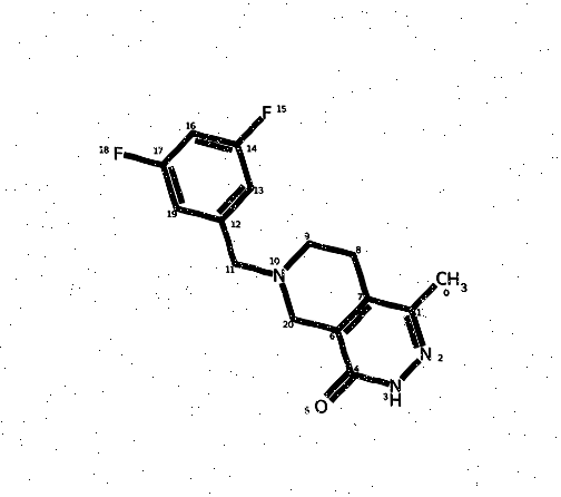 Cc1n[nH]c(=O)c2c1CCN(Cc1cc(F)cc(F)c1)C2